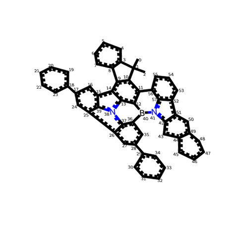 CC1(C)c2ccccc2-c2c1c1c3c4c2c2cc(-c5ccccc5)cc5c6cc(-c7ccccc7)cc(c6n4c52)B3n2c3cc4ccccc4cc3c3cccc-1c32